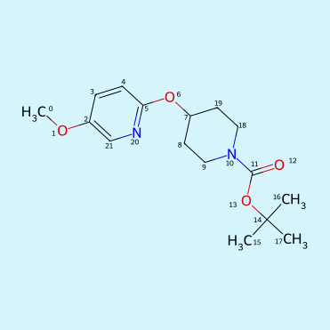 COc1ccc(OC2CCN(C(=O)OC(C)(C)C)CC2)nc1